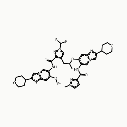 CC(C)Oc1cc2nc(C3CCOCC3)cn2cc1NC(=O)c1nn(C(F)F)cc1CC(C)Oc1cc2nc(C3CCOCC3)cn2cc1NC(=O)c1ccn(C)n1